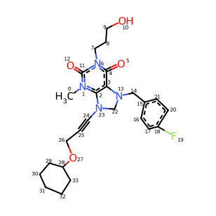 Cn1c2c(c(=O)n(CCCO)c1=O)N(Cc1ccc(F)cc1)CN2C#CCOC1CCCCC1